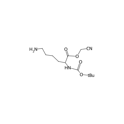 CC(C)(C)OC(=O)NC(CCCCN)C(=O)OCC#N